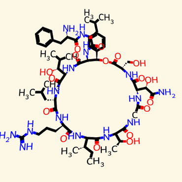 CC[C@H](C)C1NC(=O)[C@@H](CCCNC(=N)N)NC(=O)[C@H](CC(C)C)NC(=O)[C@H]([C@H](O)C(C)C)NC(=O)[C@@H](NC(=O)[C@H](CC(C)C)NC(=O)[C@@H](N)Cc2ccccc2)[C@@H](c2ccccc2)OC(=O)[C@H](CO)NC(=O)[C@H]([C@H](O)C(N)=O)NC(=O)CNC(=O)C([C@H](C)O)NC1=O